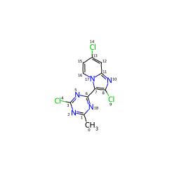 Cc1nc(Cl)nc(-c2c(Cl)nc3cc(Cl)ccn23)n1